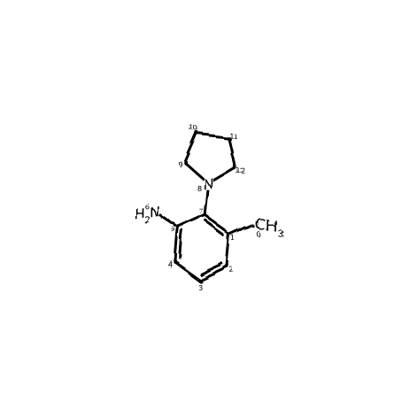 Cc1cccc(N)c1N1CCCC1